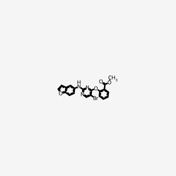 COC(=O)c1ccccc1Oc1nc(Nc2ccc3occc3c2)ncc1Br